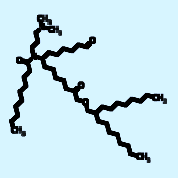 CCCCCCCCCC(=O)N(CCCN(C)C)C(CCCCCC=O)CCCCCC(=O)COCC(CCCCCCCC)CCCCCCCC